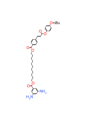 CCCCOc1ccc(OC(=O)C=Cc2ccc(C(=O)OCCCCCCCCCCCOC(=O)c3cc(N)cc(N)c3)cc2)cc1